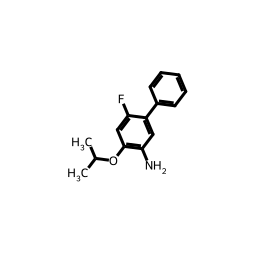 CC(C)Oc1cc(F)c(-c2ccccc2)cc1N